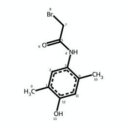 Cc1cc(NC(=O)CBr)c(C)cc1O